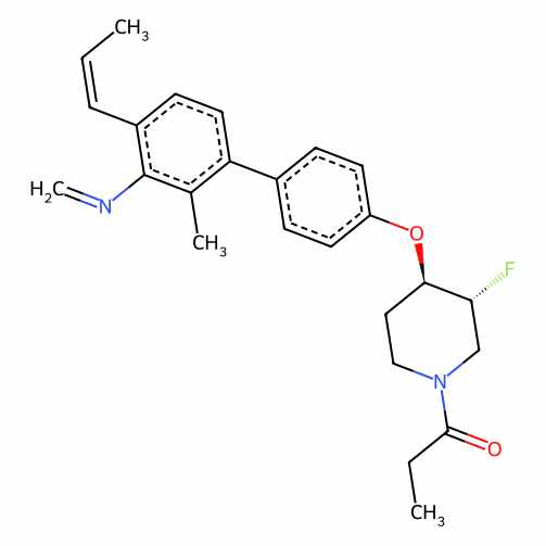 C=Nc1c(/C=C\C)ccc(-c2ccc(O[C@@H]3CCN(C(=O)CC)C[C@H]3F)cc2)c1C